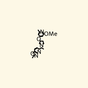 COc1cc(O[C@@H]2CCN(C(C)c3ccc4oc(C)nc4n3)C2)cc(C)n1